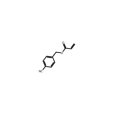 C=CC(=O)OCc1ccc(C#N)cc1